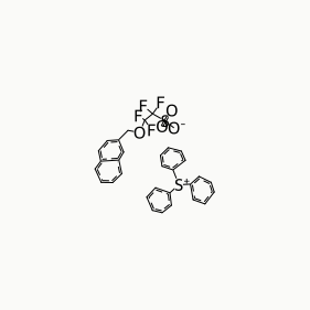 O=S(=O)([O-])C(F)(F)C(F)(F)OCc1ccc2ccccc2c1.c1ccc([S+](c2ccccc2)c2ccccc2)cc1